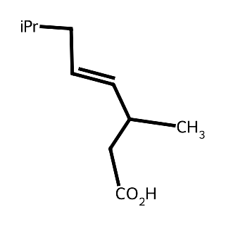 CC(C)CC=CC(C)CC(=O)O